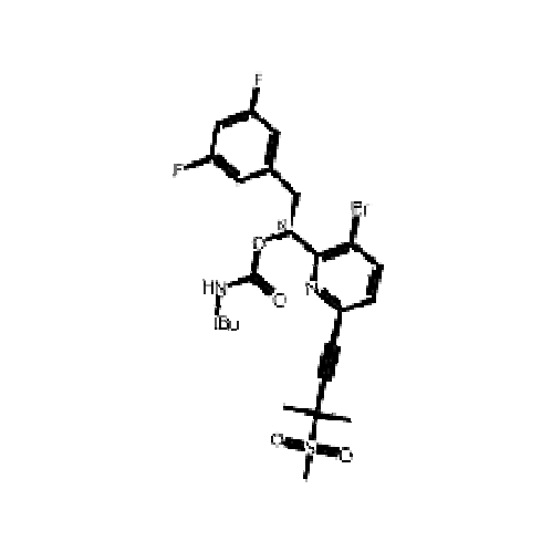 CC(C)(C)NC(=O)O[C@@H](Cc1cc(F)cc(F)c1)c1nc(C#CC(C)(C)S(C)(=O)=O)ccc1Br